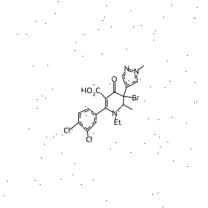 CCN1C(c2ccc(Cl)c(Cl)c2)=C(C(=O)O)C(=O)C(Br)(c2cnn(C)c2)C1C